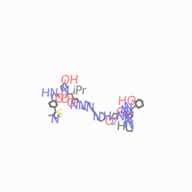 Cc1ncsc1-c1ccc([C@H](C)NC(=O)[C@@H]2C[C@@H](O)CN2C(=O)[C@@H](c2cc(N3CCN(CCN4CCC(OC5CC(Oc6cc(N7C8CC[C@@H]7CN(c7cc(-c9ccccc9O)nnc7N)C8)ccn6)C5)CC4)CC3)no2)C(C)C)cc1